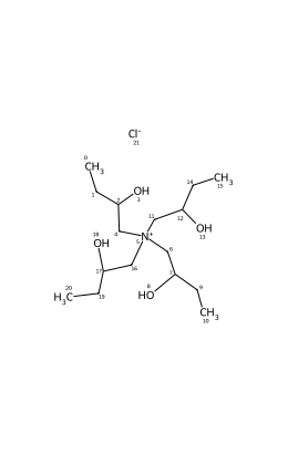 CCC(O)C[N+](CC(O)CC)(CC(O)CC)CC(O)CC.[Cl-]